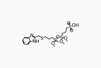 CO[Si](C)(CCCSCc1nc2ccccc2[nH]1)O[Si](CCCS(=O)(=O)O)(OC)OC